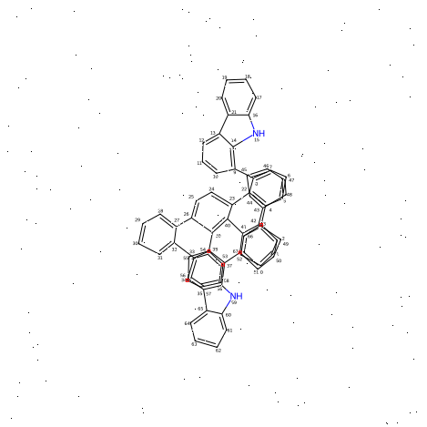 c1ccc(-c2cccc(-c3cccc4c3[nH]c3ccccc34)c2-c2ccc3c4ccccc4c4ccccc4c3c2-c2c(-c3ccccc3)cccc2-c2cccc3c2[nH]c2ccccc23)cc1